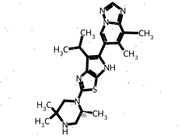 Cc1c(-c2[nH]c3sc(N4CC(C)(C)NC[C@@H]4C)nc3c2C(C)C)cn2ncnc2c1C